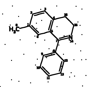 Cc1ccc2c(c1)C(c1ccccc1)=NCC2